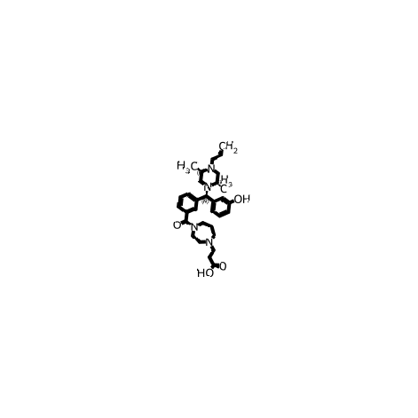 C=CCN1C[C@H](C)N([C@@H](c2cccc(O)c2)c2cccc(C(=O)N3CCCN(CCC(=O)O)CC3)c2)C[C@H]1C